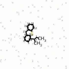 CCC(C)c1cccc2c1Sc1ccccc1C2